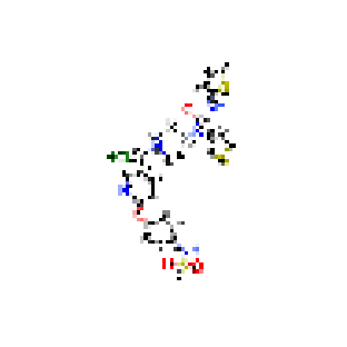 CS(=O)(=O)Nc1ccc(Oc2ccc(CN3CCC(N(C(=O)Nc4cccs4)c4ccsc4)CC3)cn2)cc1.Cl